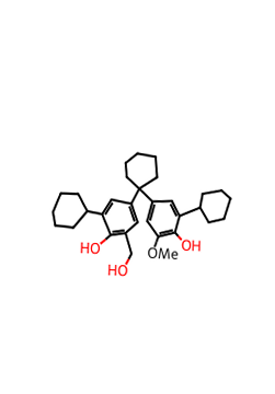 COc1cc(C2(c3cc(CO)c(O)c(C4CCCCC4)c3)CCCCC2)cc(C2CCCCC2)c1O